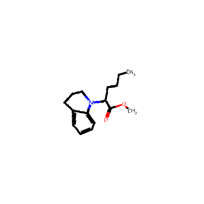 CCCCC(C(=O)OC)N1CCCc2ccccc21